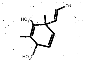 CC1=C(C(=O)O)C(C)(/C=C/C#N)C=CC1C(=O)O